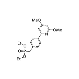 CCOP(=O)(Cc1ccc(-c2nc(OC)cc(OC)n2)cc1)OCC